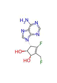 Nc1ncnc2c1ncn2[C@@H]1C(F)=C(CF)[C@@H](O)[C@H]1O